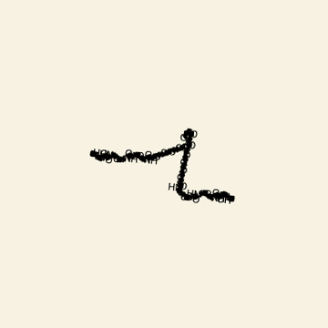 CC1CC(=O)N(CCC(=O)N(CCOCCOCCOCCOCCC(=O)NC(C)(C)CCOC(C)(C)CCC(=O)NCCC(C)(C)OCC(C)(C)NC(=O)C(O)CC(C)(C)CCC(C)(C)C)CCOCCOCCOCCOCCC(=O)NC(C)(C)COC(C)(C)CCC(=O)NCCC(C)(C)OCC(C)(C)NC(=O)C(O)CC(C)(C)CCC(C)(C)C)C1=O